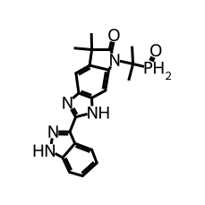 CC1(C)C(=O)N(C(C)(C)[PH2]=O)c2cc3[nH]c(-c4n[nH]c5ccccc45)nc3cc21